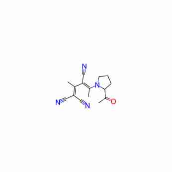 CC(=O)C1CCCN1/C(C)=C(\C#N)C(C)=C(C#N)C#N